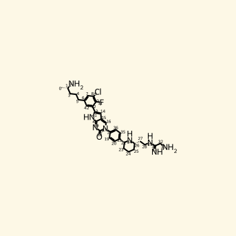 C[C@H](N)CCCc1cc(Cl)c(F)c(-c2cc3cn(-c4ccc([C@@H]5CCC[C@@H](CCNC(=N)CN)N5)cc4)c(=O)nc3[nH]2)c1